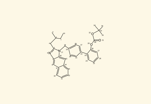 CCC(C)Cc1nc2cc3ccccc3cc2n1Cc1ccc(-c2ccccc2OC(=O)OC(C)(C)C)cc1